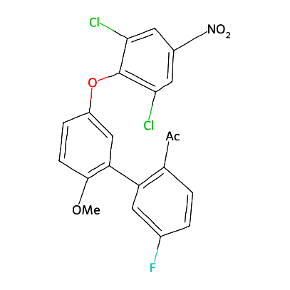 COc1ccc(Oc2c(Cl)cc([N+](=O)[O-])cc2Cl)cc1-c1cc(F)ccc1C(C)=O